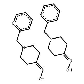 ON=C1CCN(Cc2ccccn2)CC1.ON=C1CCN(Cc2ccccn2)CC1